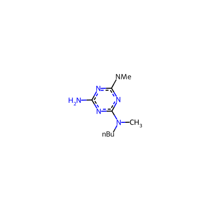 CCCCN(C)c1nc(N)nc(NC)n1